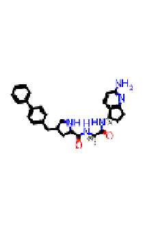 C[C@H](NC(=O)C1CC(Cc2ccc(-c3ccccc3)cc2)CN1)C(=O)N[C@H]1CCc2nc(N)ccc21